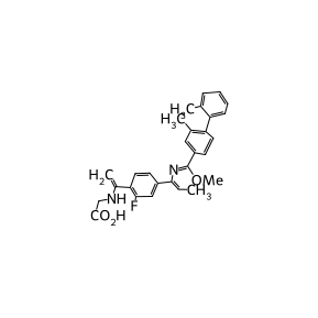 C=C(NCC(=O)O)c1ccc(C(=CC)/N=C(\OC)c2ccc(-c3ccccc3C)c(C)c2)cc1F